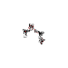 C1=Cc2cc(-c3cc(-c4cccc(-c5cccc6c5Oc5cc(-c7ccc8c(ccc9cc(-c%10cc(-c%11cccc(-c%12cccc%13c%12Oc%12ccccc%12C%13%12c%13ccccc%13-c%13ccccc%13%12)c%11)nc(-c%11ccccc%11)n%10)ccc98)c7)ccc5C65c6ccccc6-c6ccccc65)c4)nc(-c4ccccc4)n3)cc3cccc(c23)C1